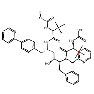 COC(=O)N[C@H](C(=O)N[C@@H](Cc1ccc(-c2ccccn2)cc1)C[C@H](O)[C@H](Cc1ccccc1)N(Cc1ccccn1)C(=O)[C@@H](NC(=O)O)C(C)(C)C)C(C)(C)C